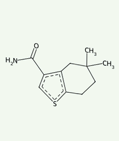 CC1(C)CCc2scc(C(N)=O)c2C1